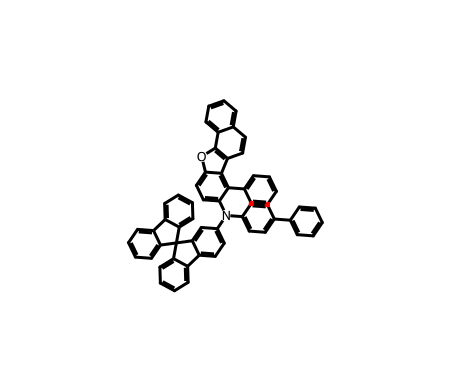 c1ccc(-c2ccc(N(c3ccc4c(c3)C3(c5ccccc5-c5ccccc53)c3ccccc3-4)c3ccc4oc5c6ccccc6ccc5c4c3-c3ccccc3)cc2)cc1